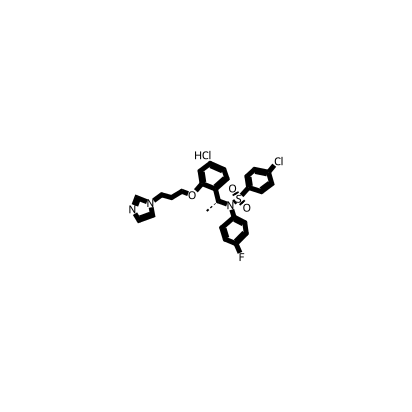 C[C@H](c1ccccc1OCCCn1ccnc1)N(c1ccc(F)cc1)S(=O)(=O)c1ccc(Cl)cc1.Cl